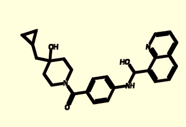 O=C(c1ccc(NC(O)c2cccc3cccnc23)cc1)N1CCC(O)(CC2CC2)CC1